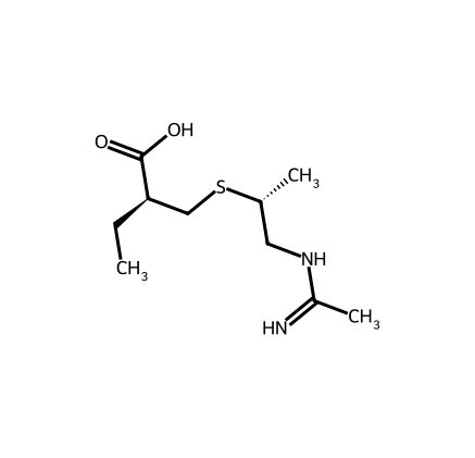 CC[C@H](CS[C@H](C)CNC(C)=N)C(=O)O